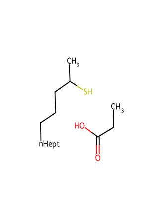 CCC(=O)O.CCCCCCCCCCC(C)S